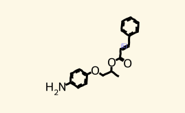 CC(COc1ccc(N)cc1)OC(=O)/C=C/c1ccccc1